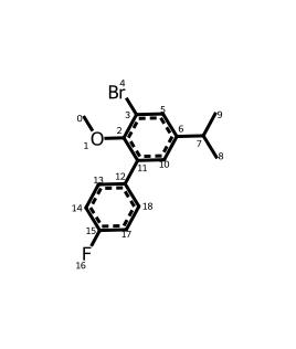 COc1c(Br)cc(C(C)C)cc1-c1ccc(F)cc1